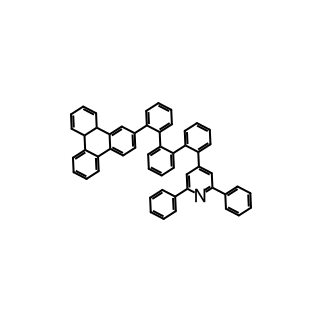 C1=CC2c3ccccc3-c3ccc(-c4ccccc4-c4ccccc4-c4ccccc4-c4cc(-c5ccccc5)nc(-c5ccccc5)c4)cc3C2C=C1